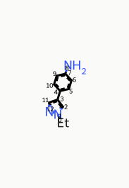 [CH2]Cn1cc(-c2ccc(N)cc2)cn1